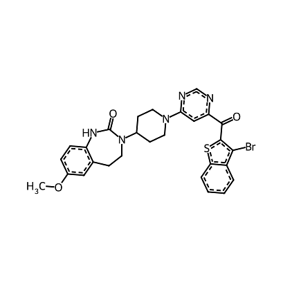 COc1ccc2c(c1)CCN(C1CCN(c3cc(C(=O)c4sc5ccccc5c4Br)ncn3)CC1)C(=O)N2